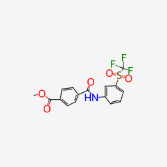 COC(=O)c1ccc(C(=O)Nc2cccc(S(=O)(=O)C(F)(F)F)c2)cc1